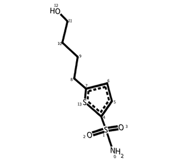 NS(=O)(=O)c1ccc(CCCCO)s1